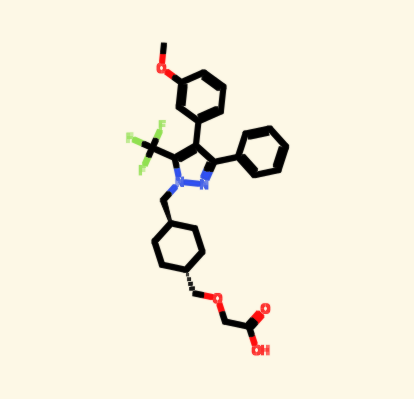 COc1cccc(-c2c(-c3ccccc3)nn(C[C@H]3CC[C@H](COCC(=O)O)CC3)c2C(F)(F)F)c1